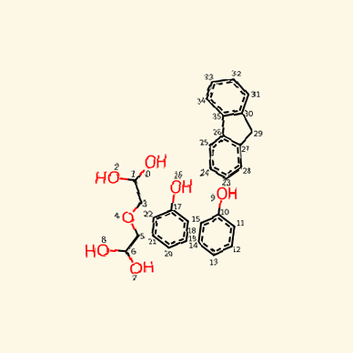 OC(O)COCC(O)O.Oc1ccccc1.Oc1ccccc1.c1ccc2c(c1)Cc1ccccc1-2